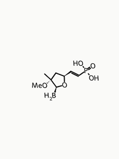 B[C@@H]1O[C@H](/C=C/P(=O)(O)O)C[C@@]1(C)OC